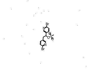 CS(=O)(=O)OC(Cc1ccc(Br)nc1)c1ccc(Br)nc1